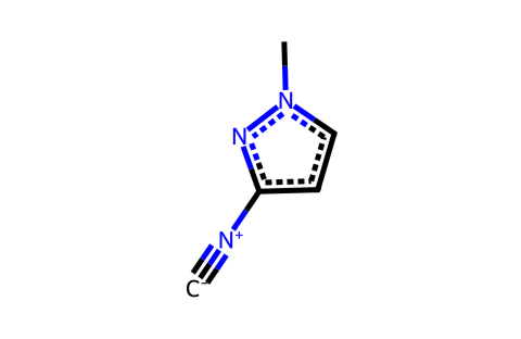 [C-]#[N+]c1ccn(C)n1